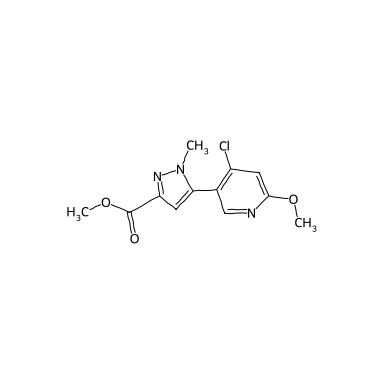 COC(=O)c1cc(-c2cnc(OC)cc2Cl)n(C)n1